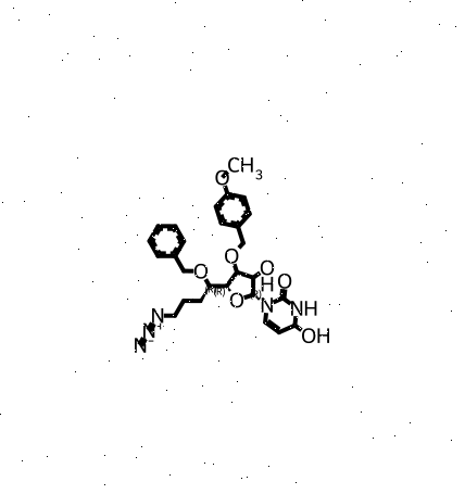 COc1ccc(COC2C(O)[C@H](N3C=CC(O)NC3=O)O[C@@H]2[C@@H](CCCN=[N+]=[N-])OCc2ccccc2)cc1